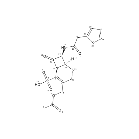 CC(=O)OCC1=C(S(=O)(=O)O)N2C(=O)[C@@H](NC(=O)Cc3cccs3)[C@H]2SC1